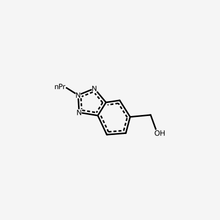 CCCn1nc2ccc(CO)cc2n1